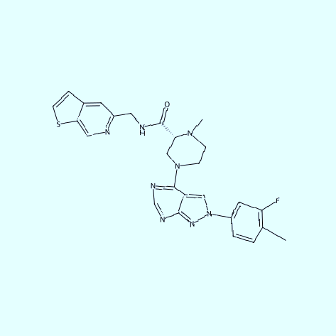 Cc1ccc(-n2cc3c(N4CCN(C)[C@@H](C(=O)NCc5cc6ccsc6cn5)C4)ncnc3n2)cc1F